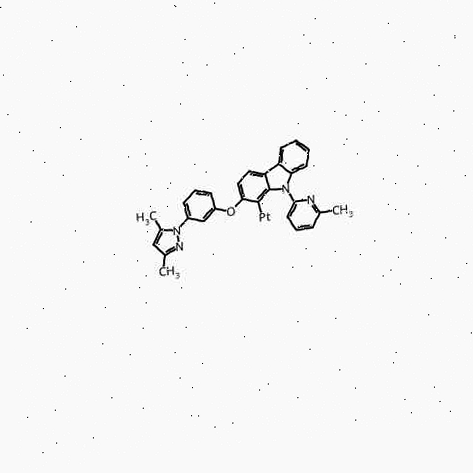 Cc1cccc(-n2c3ccccc3c3ccc(Oc4cccc(-n5nc(C)cc5C)c4)[c]([Pt])c32)n1